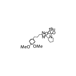 COc1ccc(CCCc2noc(C3CCCCN3C(=O)OC(C)(C)C)n2)cc1OC